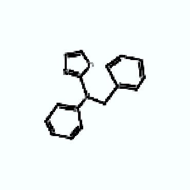 [CH](c1ccccc1)N(c1ccccc1)c1ncco1